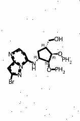 OC[C@H]1C[C@@H](Nc2ccnc3cc(Br)nn23)[C@H](OP)[C@@H]1OP